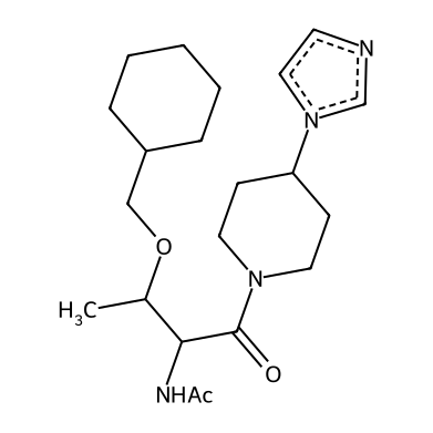 CC(=O)NC(C(=O)N1CCC(n2ccnc2)CC1)C(C)OCC1CCCCC1